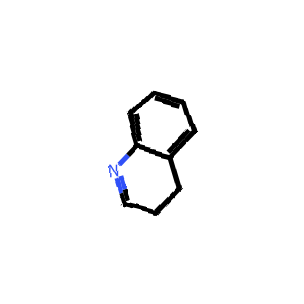 [C]1=Nc2ccccc2CC1